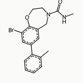 CNC(=O)N1CCOc2c(Br)cc(-c3ccccc3C)cc2C1